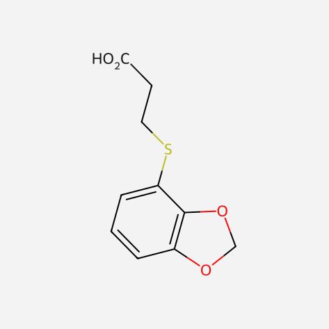 O=C(O)CCSc1cccc2c1OCO2